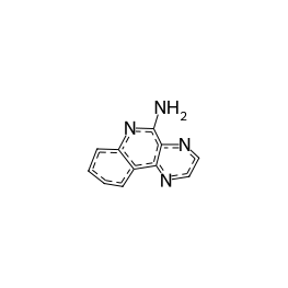 Nc1nc2ccccc2c2nccnc12